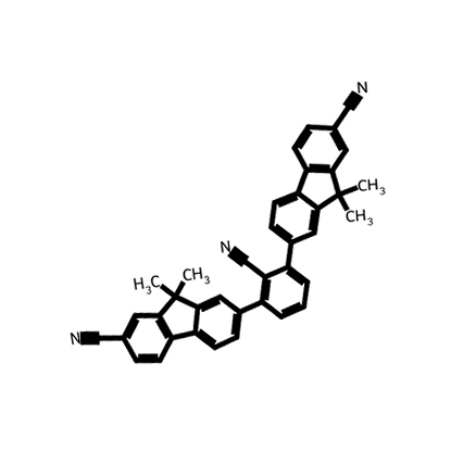 CC1(C)c2cc(C#N)ccc2-c2ccc(-c3cccc(-c4ccc5c(c4)C(C)(C)c4cc(C#N)ccc4-5)c3C#N)cc21